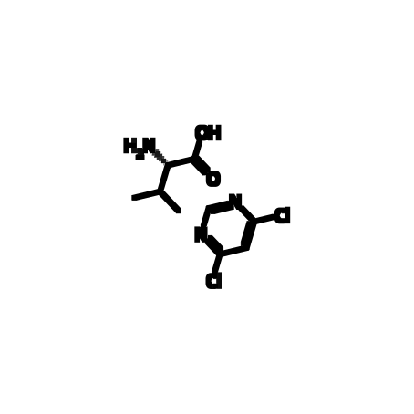 CC(C)[C@H](N)C(=O)O.Clc1cc(Cl)ncn1